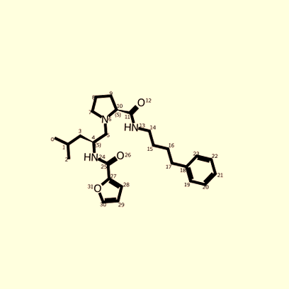 CC(C)C[C@@H](CN1CCC[C@H]1C(=O)NCCCCc1ccccc1)NC(=O)c1ccco1